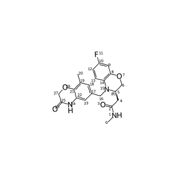 CNC(=O)C[C@@H]1COc2cc(F)ccc2N1Cc1cc(C)c2c(c1)NC(=O)CO2